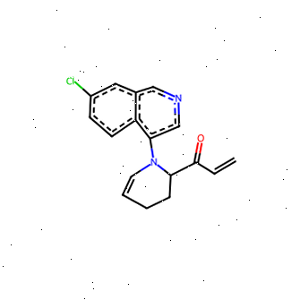 C=CC(=O)C1CCC=CN1c1cncc2cc(Cl)ccc12